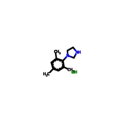 Cc1cc(C)c(N2CCNC2)c(C)c1.Cl